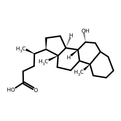 C[C@H](CCC(=O)O)[C@H]1CC[C@H]2[C@H]3C(CC[C@]12C)[C@@]1(C)CCCCC1C[C@H]3O